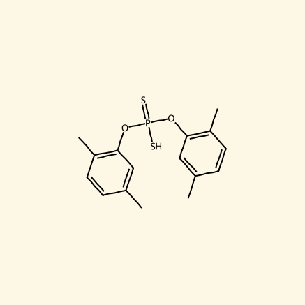 Cc1ccc(C)c(OP(=S)(S)Oc2cc(C)ccc2C)c1